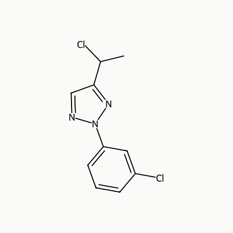 CC(Cl)c1cnn(-c2cccc(Cl)c2)n1